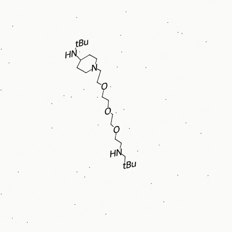 CC(C)(C)CNCCOCCOCCOCCN1CCC(NC(C)(C)C)CC1